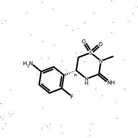 CN1C(=N)N[C@H](c2cc(N)ccc2F)CS1(=O)=O